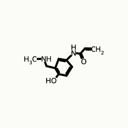 C=CC(=O)Nc1ccc(O)c(CNC)c1